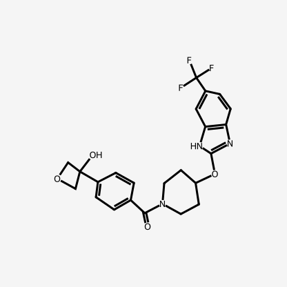 O=C(c1ccc(C2(O)COC2)cc1)N1CCC(Oc2nc3ccc(C(F)(F)F)cc3[nH]2)CC1